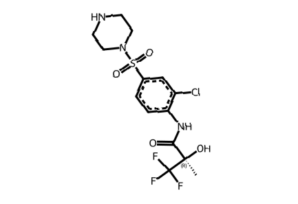 C[C@@](O)(C(=O)Nc1ccc(S(=O)(=O)N2CCNCC2)cc1Cl)C(F)(F)F